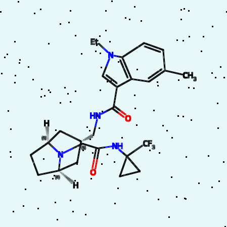 CCn1cc(C(=O)NC[C@@H]2C[C@H]3CC[C@@H](C2)N3CC(=O)NC2(C(F)(F)F)CC2)c2cc(C)ccc21